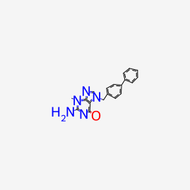 Cn1c(N)nc(=O)c2c1ncn2Cc1ccc(-c2ccccc2)cc1